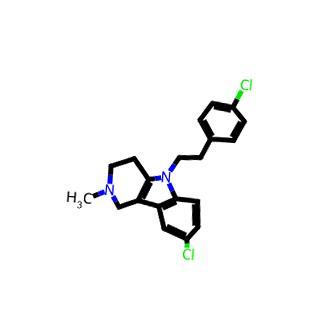 CN1CCc2c(c3cc(Cl)ccc3n2CCc2ccc(Cl)cc2)C1